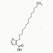 CCCCCCCCCCCCCCc1sccc1C(=O)O